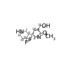 COc1ncc(C2CNCCC2(F)F)cc1CO